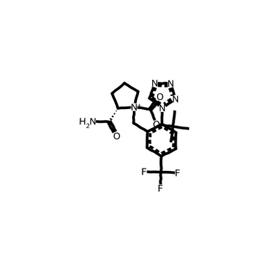 CC(C)(C)OC(=O)[N+]1(Cc2cc(C(F)(F)F)ccc2-n2cnnn2)CCC[C@H]1C(N)=O